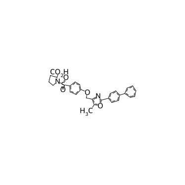 Cc1oc(-c2ccc(-c3ccccc3)cc2)nc1COc1ccc(S(=O)(=O)N2CCCC2C(=O)O)cc1